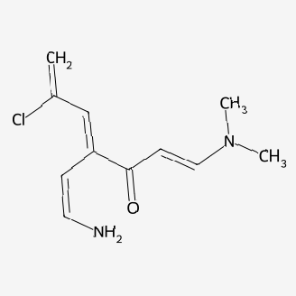 C=C(Cl)/C=C(\C=C/N)C(=O)/C=C/N(C)C